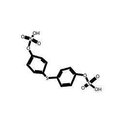 O=S(=O)(O)Oc1ccc(Sc2ccc(OS(=O)(=O)O)cc2)cc1